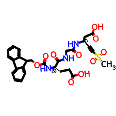 CS(=O)(=O)C#C[C@H](CC(=O)O)NC(=O)CNC(=O)[C@H](CCC(=O)O)NC(=O)OCC1c2ccccc2-c2ccccc21